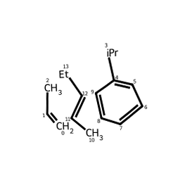 C=CC.CC(C)c1ccccc1.CC=CCC